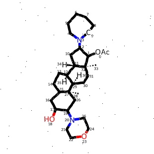 CC(=O)OC1C(N2CCCCCC2)C[C@H]2[C@@H]3CCC4CC(O)C(N5CCOCC5)C[C@]4(C)[C@@H]3CC[C@]12C